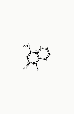 COc1nc(=O)n(C)c2cccnc12